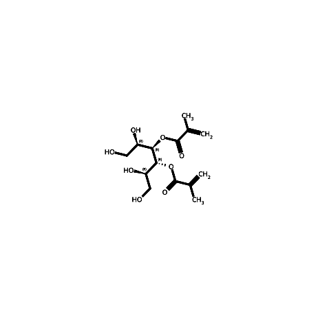 C=C(C)C(=O)O[C@@H]([C@H](OC(=O)C(=C)C)[C@H](O)CO)[C@H](O)CO